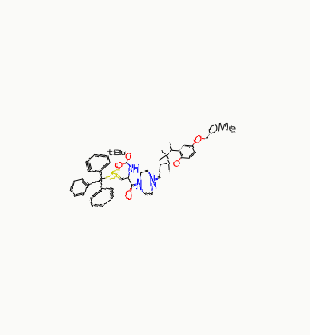 COCOc1ccc2c(c1)C(C)C(C)(C)C(C)(CCN1CCN(C(=O)C(CSC(c3ccccc3)(c3ccccc3)c3ccccc3)NC(=O)OC(C)(C)C)CC1)O2